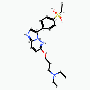 CCN(CC)CCCOc1ccc2ncc(-c3ccc(S(=O)(=O)CC)cc3)n2n1